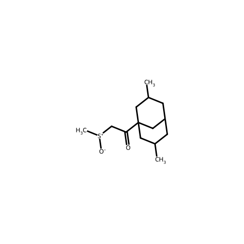 CC1CC2CC(C)CC(C(=O)C[S+](C)[O-])(C1)C2